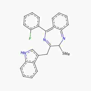 CSC1N=c2ccccc2=C(c2ccccc2F)N=C1Cc1c[nH]c2ccccc12